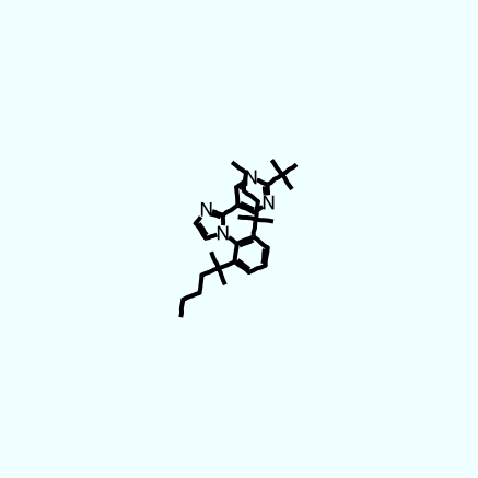 CCCCC(C)(C)c1cccc(C(C)(C)CCCC)c1-n1ccnc1-c1cnc(C(C)(C)C)nc1